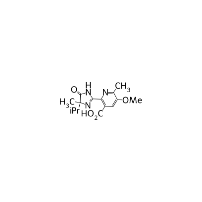 COc1cc(C(=O)O)c(C2=NC(C)(C(C)C)C(=O)N2)nc1C